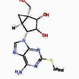 CCCCCSc1nc(N)c2ncn([C@H]3C(O)C(O)[C@]4(CO)C[C@H]34)c2n1